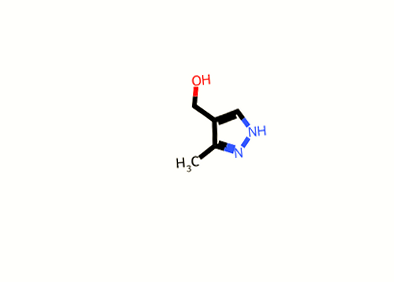 Cc1n[nH]cc1CO